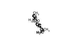 COC[C@]1(C)CN(c2ccc3c(n2)CC[C@H](NC(=O)c2sc4nc(C)ccc4c2N)C3)C[C@H]1N